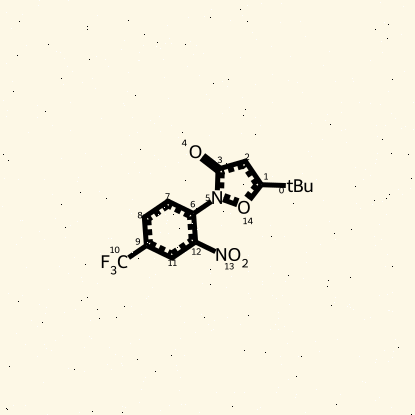 CC(C)(C)c1cc(=O)n(-c2ccc(C(F)(F)F)cc2[N+](=O)[O-])o1